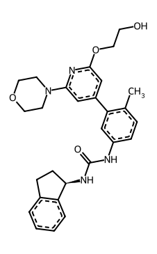 Cc1ccc(NC(=O)N[C@@H]2CCc3ccccc32)cc1-c1cc(OCCO)nc(N2CCOCC2)c1